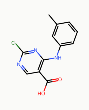 Cc1cccc(Nc2nc(Cl)ncc2C(=O)O)c1